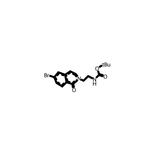 CC(C)(C)OC(=O)NCCn1ccc2cc(Br)ccc2c1=O